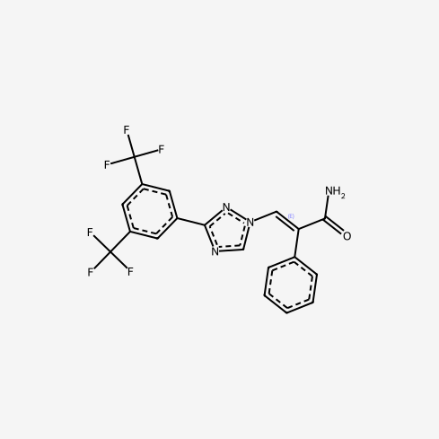 NC(=O)/C(=C/n1cnc(-c2cc(C(F)(F)F)cc(C(F)(F)F)c2)n1)c1ccccc1